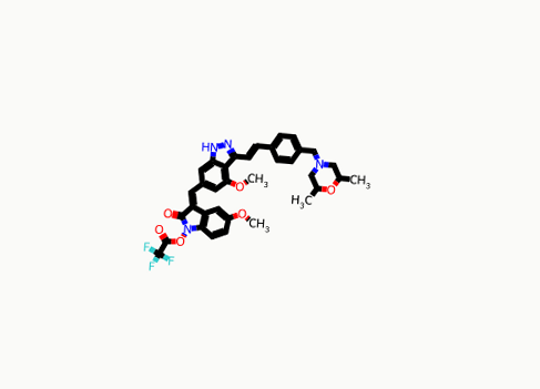 COc1ccc2c(c1)/C(=C\c1cc(OC)c3c(/C=C/c4ccc(CN5CC(C)OC(C)C5)cc4)n[nH]c3c1)C(=O)N2OC(=O)C(F)(F)F